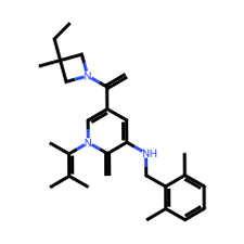 C=C(C1=CN(C(C)=C(C)C)C(=C)C(NCc2c(C)cccc2C)=C1)N1CC(C)(CC)C1